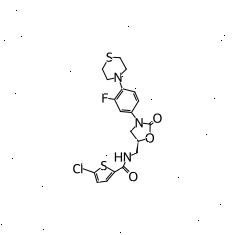 O=C(NC[C@H]1CN(c2ccc(N3CCSCC3)c(F)c2)C(=O)O1)c1ccc(Cl)s1